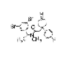 CC(c1cc(Br)cc(Br)c1)N(C)C(=O)CC1(c2ccc(F)cc2)CCNCC1